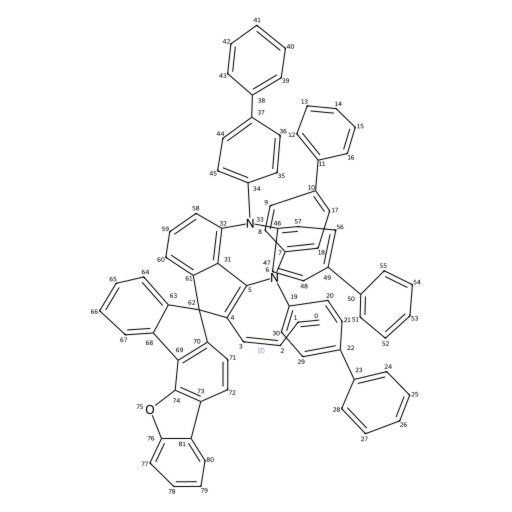 C=C/C=C\C1=C(N(c2ccc(-c3ccccc3)cc2)c2ccc(-c3ccccc3)cc2)c2c(N(c3ccc(-c4ccccc4)cc3)c3ccc(-c4ccccc4)cc3)cccc2C12c1ccccc1-c1c2ccc2c1oc1ccccc12